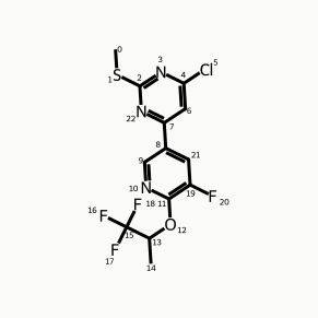 CSc1nc(Cl)cc(-c2cnc(OC(C)C(F)(F)F)c(F)c2)n1